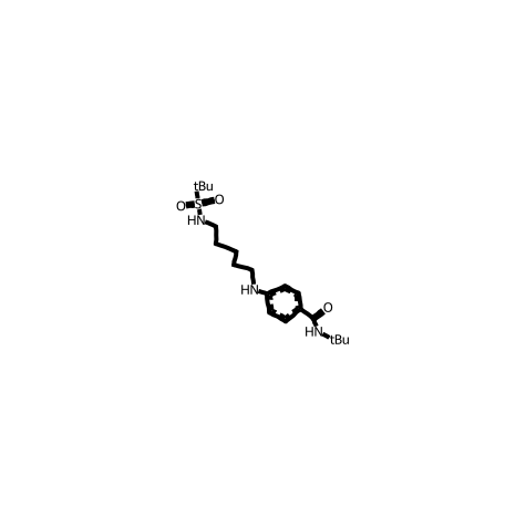 CC(C)(C)NC(=O)c1ccc(NCCCCCNS(=O)(=O)C(C)(C)C)cc1